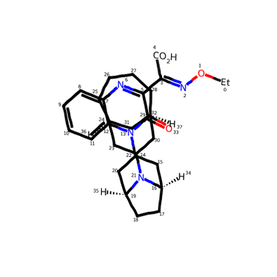 CCO/N=C(\C(=O)O)c1nc2ccccc2n(C2C[C@H]3CC[C@@H](C2)N3C2C[C@H]3CCCC[C@@H](C2)C3)c1=O